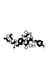 CC1CN(CC(=O)N(C)CC23CCC(N(C)C(=O)C(=O)N(C)C)(CC2)c2nc(C(=O)NCc4ccc(F)cc4)c(O)c(=O)n2C3)CC(C)O1